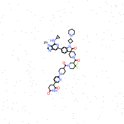 CC(C)n1cnc2cc(-c3ccc4c(c3)N([C@H]3C[C@@H](N5CCCCC5)C3)C(=O)C43CCN(C(=O)C4CN(C(=O)C5CCN(c6ccc(C7CCC(=O)NC7=O)cn6)CC5)CCC4(F)F)CC3)nc(NC3CC3)c21